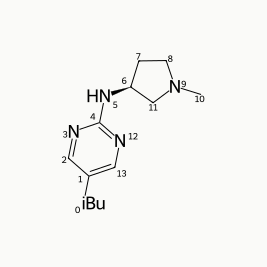 CCC(C)c1cnc(N[C@H]2CCN(C)C2)nc1